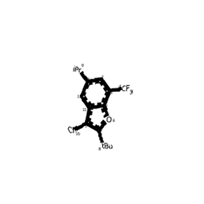 CC(C)c1cc(C(F)(F)F)c2oc(C(C)(C)C)c(Cl)c2c1